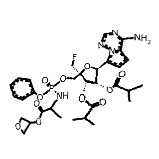 CC(C)C(=O)O[C@H]1[C@H](c2ccc3c(N)ncnn23)O[C@](CF)(CO[P@@](=O)(NC(C)C(=O)OC2COC2)Oc2ccccc2)[C@H]1OC(=O)C(C)C